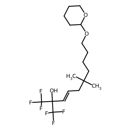 CC(C)(C/C=C/C(O)(C(F)(F)F)C(F)(F)F)CCCCOC1CCCCO1